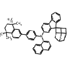 CC1(C)CCC(C)(C)c2cc(-c3ccc(N(c4ccc5c(c4)C4(c6ccccc6-5)C5CC6CC7CC4C75C6)c4cccc5ccccc45)cc3)ccc21